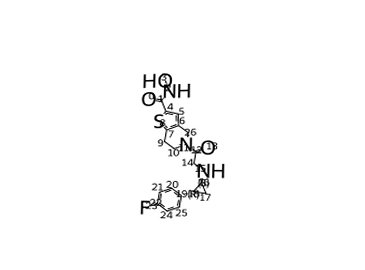 O=C(NO)c1cc2c(s1)CCN(C(=O)CN[C@H]1C[C@@H]1c1ccc(F)cc1)C2